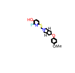 COc1ccc(O[C@H]2C[C@@H]3CN(CSc4ccc(O)c(F)n4)C[C@@H]3C2)cc1